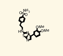 COc1ccc(-c2cnc3sc(NCCc4ccc(S(N)(=O)=O)cc4)nn23)cc1OC